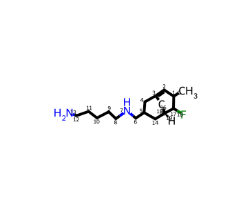 CC1C=C2CC(CNCCCCCN)C[C@H](C2)C1F